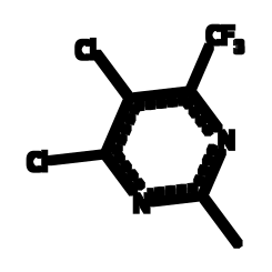 Cc1nc(Cl)c(Cl)c(C(F)(F)F)n1